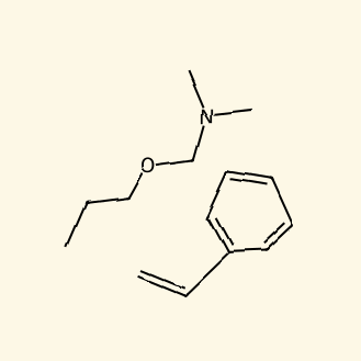 C=Cc1ccccc1.CCCOCN(C)C